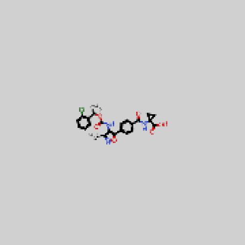 Cc1noc(-c2ccc(C(=O)NC3(C(=O)O)CC3)cc2)c1NC(=O)OC(C)c1ccccc1Cl